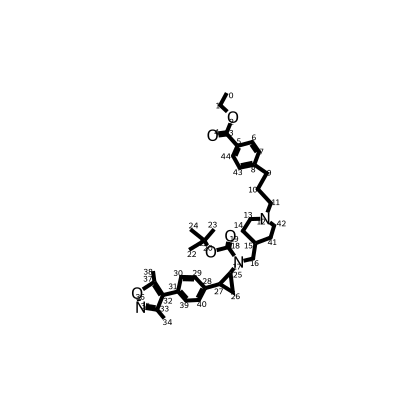 CCOC(=O)c1ccc(CCCN2CCC(CN(C(=O)OC(C)(C)C)C3CC3c3ccc(-c4c(C)noc4C)cc3)CC2)cc1